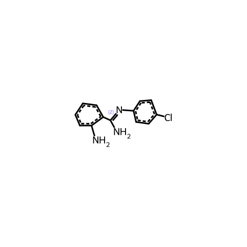 N/C(=N\c1ccc(Cl)cc1)c1ccccc1N